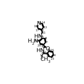 CC[C@@H](NC(=O)c1ccc(NCc2ccncc2)c(N)c1)c1ccccc1